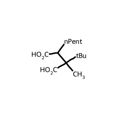 CCCCCC(C(=O)O)C(C)(C(=O)O)C(C)(C)C